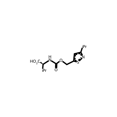 CC(C)c1cc(COC(=O)N[C@H](C(=O)O)C(C)C)sn1